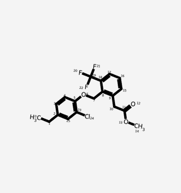 CCc1ccc(OCc2c(CC(=O)OC)cccc2C(F)(F)F)c(Cl)c1